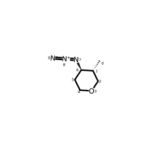 C[C@@H]1COCC[C@H]1N=[N+]=[N-]